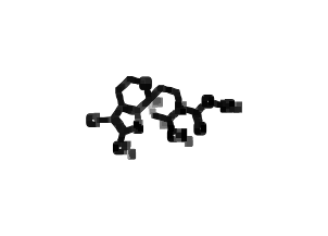 C[C@H]1C[C@@]2(CCN1C(=O)OC(C)(C)C)OCCc1c2sc(C(F)(F)F)c1Cl